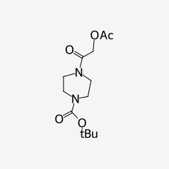 CC(=O)OCC(=O)N1CCN(C(=O)OC(C)(C)C)CC1